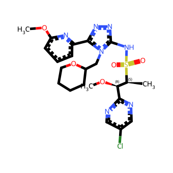 COc1cccc(-c2nnc(NS(=O)(=O)[C@@H](C)[C@H](OC)c3ncc(Cl)cn3)n2CC2CCCCO2)n1